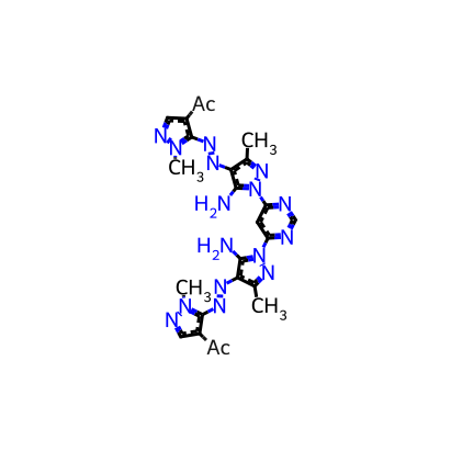 CC(=O)c1cnn(C)c1/N=N/c1c(C)nn(-c2cc(-n3nc(C)c(/N=N/c4c(C(C)=O)cnn4C)c3N)ncn2)c1N